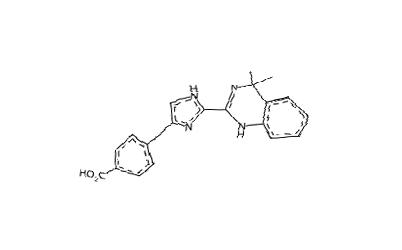 CC1(C)N=C(c2nc(-c3ccc(C(=O)O)cc3)c[nH]2)Nc2ccccc21